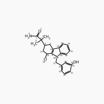 CC(C)(C(N)=O)C1Cc2c(n(Cc3cccc(O)c3)c3ccccc23)C(Cl)C1